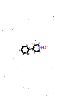 [O-][n+]1ccc(-c2cc[c]cc2)cc1